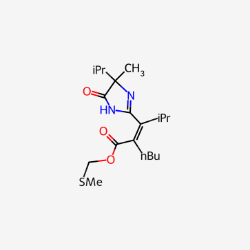 CCCC/C(C(=O)OCSC)=C(/C1=NC(C)(C(C)C)C(=O)N1)C(C)C